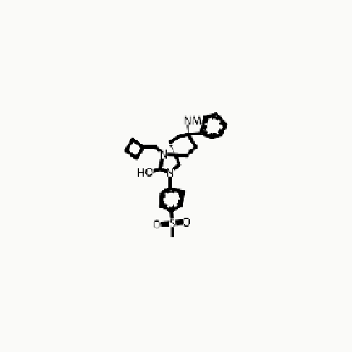 CN[C@]1(c2ccccc2)CC[C@]2(CC1)CN(c1ccc(S(C)(=O)=O)cc1)C(O)N2CC1CCC1